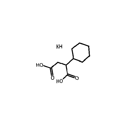 O=C(O)CC(C(=O)O)C1CCCCC1.[KH]